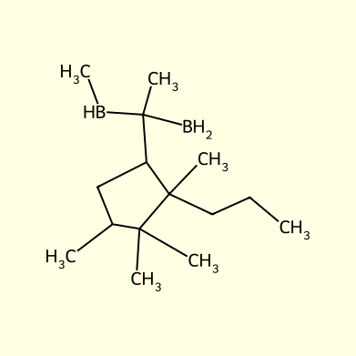 BC(C)(BC)C1CC(C)C(C)(C)C1(C)CCC